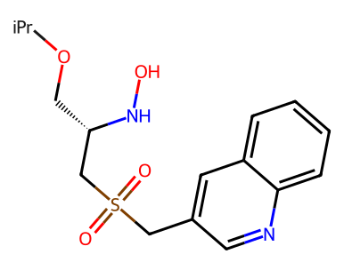 CC(C)OC[C@@H](CS(=O)(=O)Cc1cnc2ccccc2c1)NO